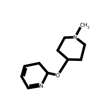 CN1CCC(OC2CC=CC=N2)CC1